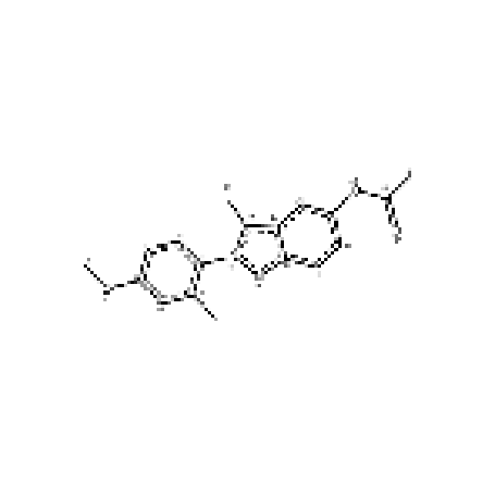 COc1ccc(-n2nc3ccc(OC(C)=O)cc3c2I)c(C)c1